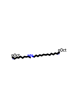 CCCCCCCC/C=C\CCCCCCCCCCCCNCCCCCCCC/C=C\CCCCCCCC